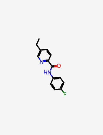 CCc1ccc(C(=O)Nc2ccc(F)cc2)nc1